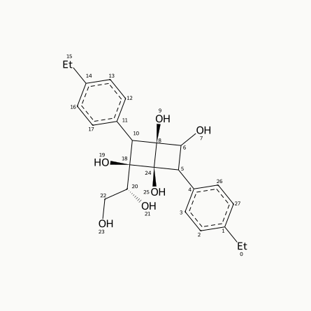 CCc1ccc(C2C(O)[C@@]3(O)C(c4ccc(CC)cc4)[C@@](O)([C@H](O)CO)[C@@]23O)cc1